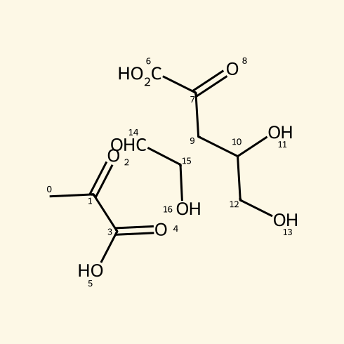 CC(=O)C(=O)O.O=C(O)C(=O)CC(O)CO.O=CCO